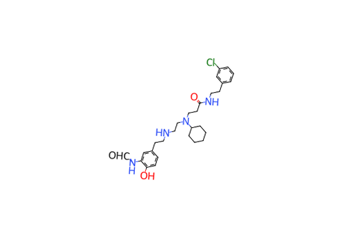 O=CNc1cc(CCNCCN(CCC(=O)NCCc2cccc(Cl)c2)C2CCCCC2)ccc1O